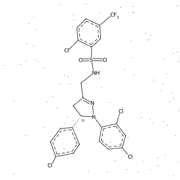 O=S(=O)(NCC1=NN(c2ccc(Cl)cc2Cl)[C@H](c2ccc(Cl)cc2)C1)c1cc(C(F)(F)F)ccc1Cl